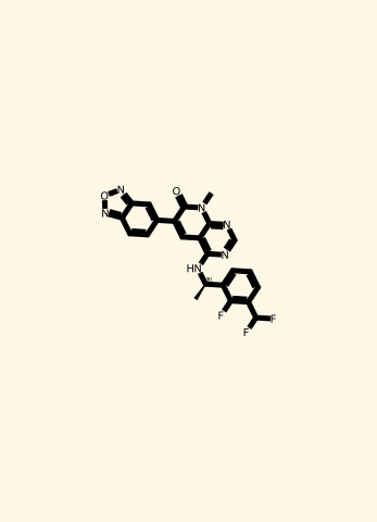 C[C@@H](Nc1ncnc2c1cc(-c1ccc3nonc3c1)c(=O)n2C)c1cccc(C(F)F)c1F